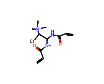 C=CC(=O)NC(NC(=O)C=C)C(CC)[N+](C)(C)C